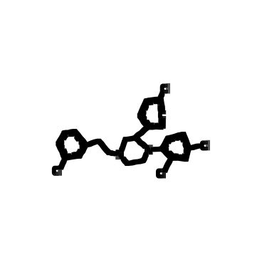 Clc1ccc(C2CN(CCc3cccc(Cl)c3)CCN2c2ccc(Cl)cc2Cl)cc1